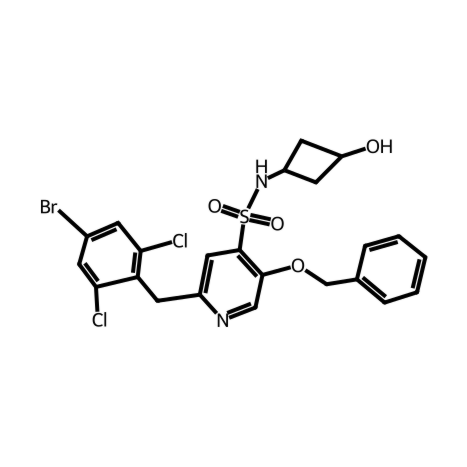 O=S(=O)(NC1CC(O)C1)c1cc(Cc2c(Cl)cc(Br)cc2Cl)ncc1OCc1ccccc1